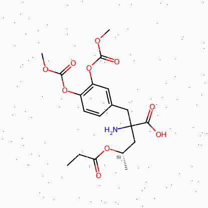 CCC(=O)O[C@@H](C)CC(N)(Cc1ccc(OC(=O)OC)c(OC(=O)OC)c1)C(=O)O